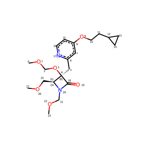 COCO[C@@]1(Cc2cc(OCCC3CC3)ccn2)C(=O)N(COC)[C@H]1COC